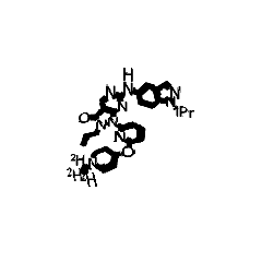 [2H]C([2H])([2H])N1CCC(Oc2cccc(-n3c4nc(Nc5ccc6c(cnn6C(C)C)c5)ncc4c(=O)n3CC=C)n2)CC1